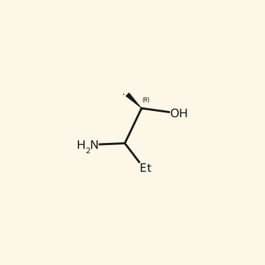 [CH2][C@@H](O)C(N)CC